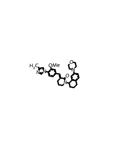 COc1cc(/C=C2\CCCN(C3CCCc4ccc(N5CCOCC5)cc43)C2=O)ccc1-n1cnc(C)c1